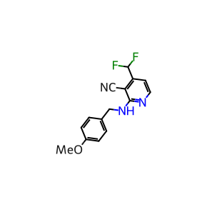 COc1ccc(CNc2nccc(C(F)F)c2C#N)cc1